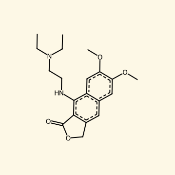 CCN(CC)CCNc1c2c(cc3cc(OC)c(OC)cc13)COC2=O